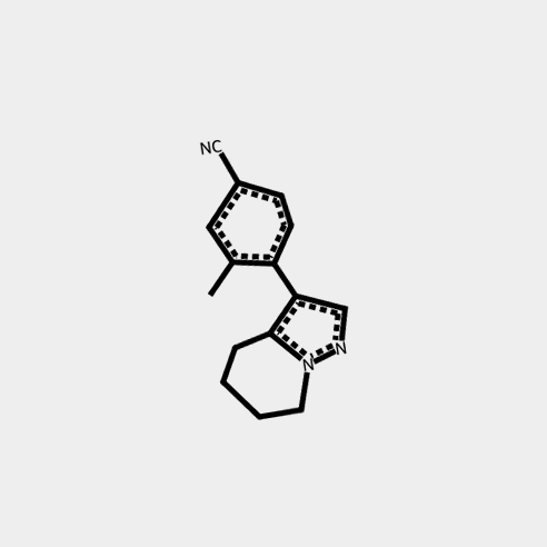 Cc1cc(C#N)ccc1-c1cnn2c1CCCC2